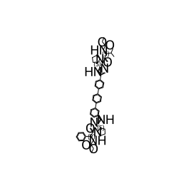 COC(=O)N[C@H](C(=O)N1CCC[C@H]1c1ncc(-c2ccc(-c3ccc(-c4ccc5nc([C@@H]6CCCN6C(=O)[C@H](NC(=O)OC)c6ccccc6)[nH]c5c4)cc3)cc2)[nH]1)C(C)C